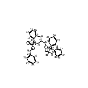 CC(C)(C)[Si](OCC1Cc2ccccc2N(C(=O)OCc2ccccc2)C1)(c1ccccc1)c1ccccc1